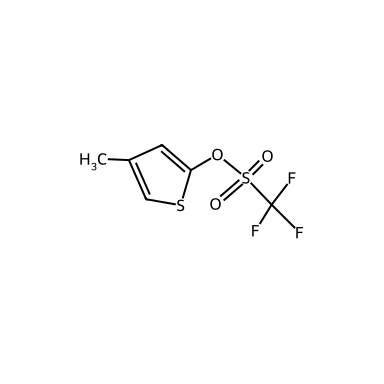 Cc1csc(OS(=O)(=O)C(F)(F)F)c1